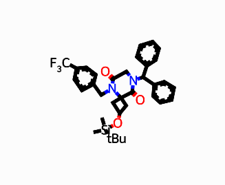 CC(C)(C)[Si](C)(C)OC1CC2(C1)C(=O)N(C(c1ccccc1)c1ccccc1)CC(=O)N2Cc1ccc(C(F)(F)F)cc1